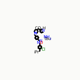 CC(C)(C)N.CC(C)Cc1ccc(-c2nc(-c3ccc(CN4CCC(Cc5cccnc5)(C(=O)O)CC4)cc3)no2)cc1Cl